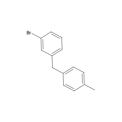 Cc1ccc(Cc2cccc(Br)c2)cc1